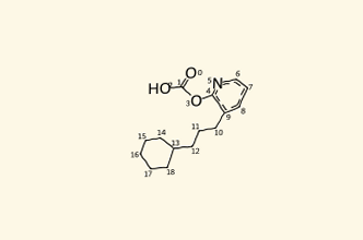 O=C(O)Oc1ncccc1CCCC1CCCCC1